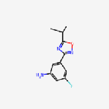 CC(C)c1nc(-c2cc(N)cc(F)c2)no1